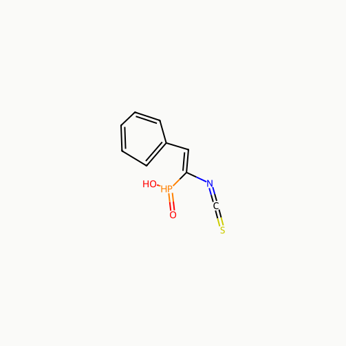 O=[PH](O)C(=Cc1ccccc1)N=C=S